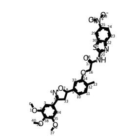 COc1cc(C2=NOC(c3ccc(C)c(OCC(=O)Nc4nc5ccc([N+](=O)[O-])cc5s4)c3)C2)cc(OC)c1OC